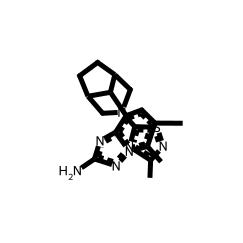 Cc1nsc(N2CC3CCC(C2)C3c2cc(C)c(C)n3nc(N)nc23)n1